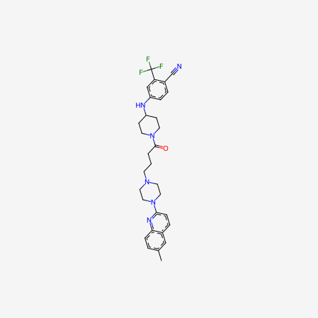 Cc1ccc2nc(N3CCN(CCCC(=O)N4CCC(Nc5ccc(C#N)c(C(F)(F)F)c5)CC4)CC3)ccc2c1